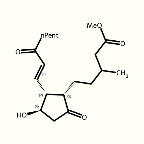 CCCCCC(=O)/C=C/[C@H]1[C@H](O)CC(=O)[C@H]1CCC(C)CC(=O)OC